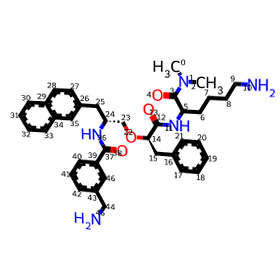 CN(C)C(=O)C(CCCCN)NC(=O)[C@@H](Cc1ccccc1)OC[C@@H](Cc1ccc2ccccc2c1)NC(=O)c1cccc(CN)c1